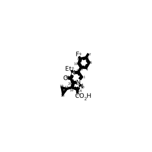 CCn1c(-c2ccc(C)c(F)c2)cn2nc(C(=O)O)c(C3CC3)c2c1=O